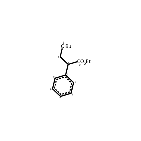 CCOC(=O)C(COCC(C)C)c1ccccc1